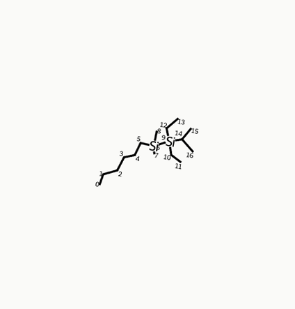 CCCCCC[Si](C)(C)[Si](CC)(CC)C(C)C